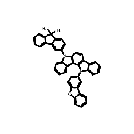 CC1(C)c2ccccc2-c2cc(-n3c4ccccc4c4c3ccc3c5ccccc5n(-c5ccc6oc7ccccc7c6c5)c34)ccc21